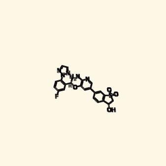 C[C@@H](Oc1cc(-c2ccc3c(c2)S(=O)(=O)CC3O)cnc1N)c1cc(F)ccc1-n1nccn1